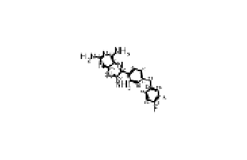 Nc1nc(N)c2nc(-c3ccc(Cc4ccc(F)cc4)cc3)c(N)nc2n1